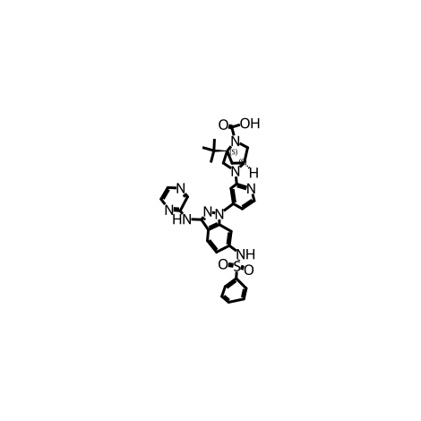 CC(C)(C)[C@]12C[C@@H](CN1C(=O)O)N(c1cc(-n3nc(Nc4cnccn4)c4ccc(NS(=O)(=O)c5ccccc5)cc43)ccn1)C2